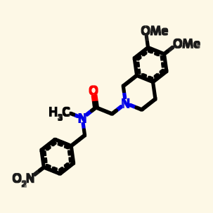 COc1cc2c(cc1OC)CN(CC(=O)N(C)Cc1ccc([N+](=O)[O-])cc1)CC2